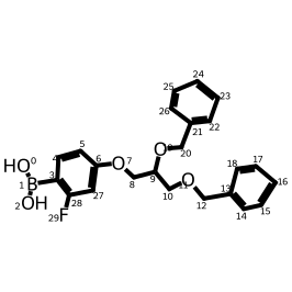 OB(O)c1ccc(OCC(COCc2ccccc2)OCc2ccccc2)cc1F